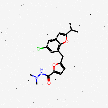 CC(C)c1cc2cc(Cl)cc(Cc3ccc(C(=O)NN(C)C)o3)c2o1